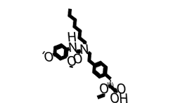 CCCCCCCN(CCc1ccc(C[C@@H](OCC)C(=O)O)cc1)C(=O)Nc1ccc(OC)cc1OC